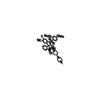 CCOc1ccccc1C1(C(=O)NN2CCC(N3CCN(C)CC3)CC2)C(=O)N(S(=O)(=O)c2ccc(OC)cc2OC)c2cc(F)c(C#N)cc21